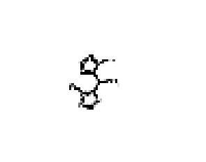 CC(C)n1ncnc1C(N)c1ncnn1C(C)C